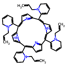 C=CCN1CC=CC=C1c1c2nc(c(C3=CC=CCN3CC=C)c3ccc([nH]3)c(C3=CC=CCN3CC=C)c3nc(c(C4=CC=CCN4CC=C)c4ccc1[nH]4)C=C3)C=C2